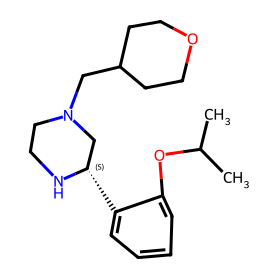 CC(C)Oc1ccccc1[C@H]1CN(CC2CCOCC2)CCN1